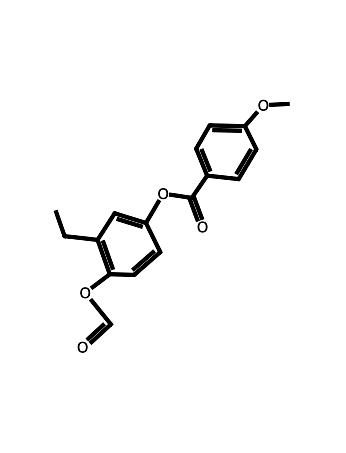 CCc1cc(OC(=O)c2ccc(OC)cc2)ccc1OC=O